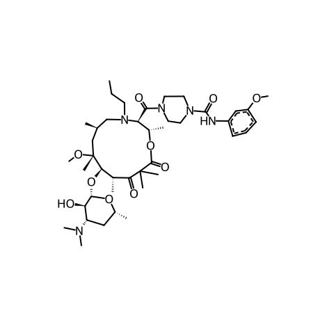 CCCN1C[C@H](C)C[C@@](C)(OC)[C@H](O[C@@H]2O[C@H](C)C[C@H](N(C)C)[C@H]2O)[C@@H](C)C(=O)C(C)(C)C(=O)O[C@@H](C)[C@@H]1C(=O)N1CCN(C(=O)Nc2cccc(OC)c2)CC1